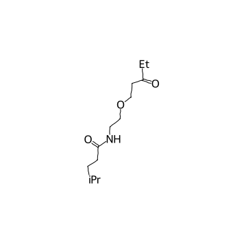 CCC(=O)CCOCCNC(=O)CCC(C)C